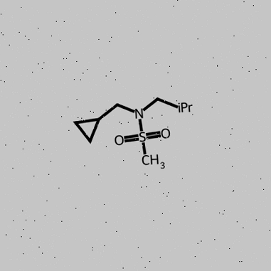 CC(C)CN(CC1CC1)S(C)(=O)=O